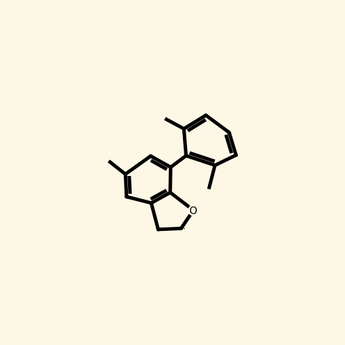 Cc1cc2c(c(-c3c(C)cccc3C)c1)O[CH]C2